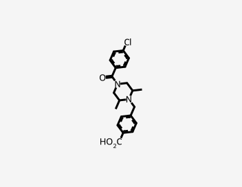 CC1CN(C(=O)c2ccc(Cl)cc2)CC(C)N1Cc1ccc(C(=O)O)cc1